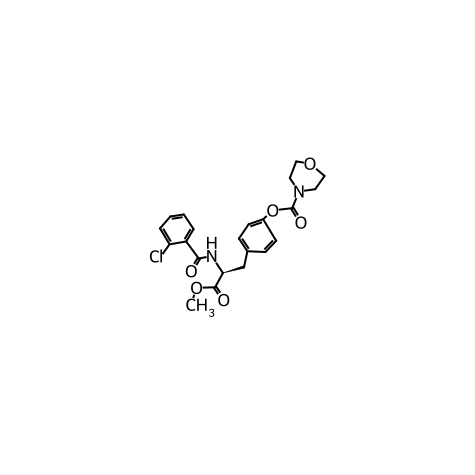 COC(=O)[C@H](Cc1ccc(OC(=O)N2CCOCC2)cc1)NC(=O)c1ccccc1Cl